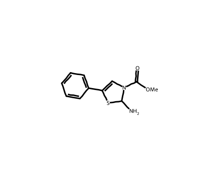 COC(=O)N1C=C(c2ccccc2)SC1N